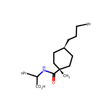 CCCC(NC(=O)[C@]1(C)CC[C@@H](CCCC(C)C)CC1)C(=O)O